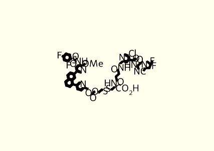 COc1ncc(-c2ccc3cccc(-c4ccc(COC(=O)OCCSSCC(NC(=O)CCC(=O)NCc5cc(C(=O)NC(C)C(=O)N6CC(F)(F)CC6C#N)c(Cl)cn5)C(=O)O)nc4)c3c2)cc1NS(=O)(=O)c1ccc(F)cc1F